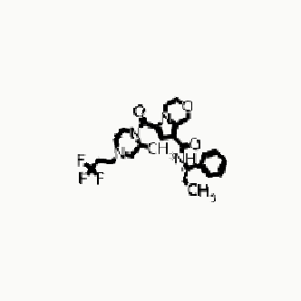 CC[C@@H](NC(=O)c1cc(C(=O)N2CCN(CCC(F)(F)F)CC2C)n2c1COCC2)c1ccccc1